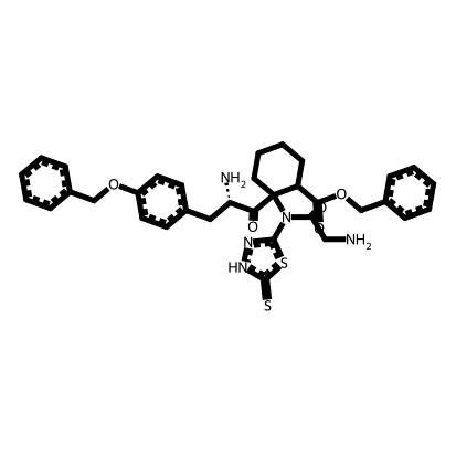 NCC(=O)N(c1n[nH]c(=S)s1)C1(C(=O)[C@@H](N)Cc2ccc(OCc3ccccc3)cc2)CCCCC1C(=O)OCc1ccccc1